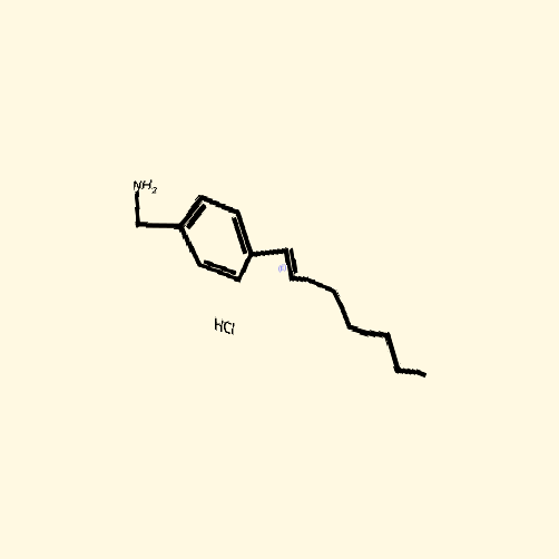 CCCCC/C=C/c1ccc(CN)cc1.Cl